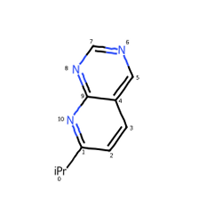 CC(C)c1ccc2cncnc2n1